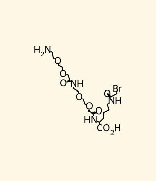 NCCOCCOCC(=O)NCCOCCOCC(=O)NC(CCCCNC(=O)CBr)C(=O)O